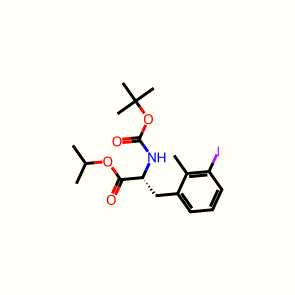 Cc1c(I)cccc1C[C@@H](NC(=O)OC(C)(C)C)C(=O)OC(C)C